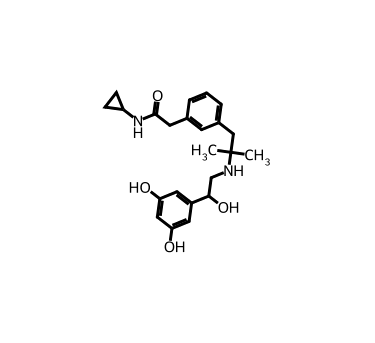 CC(C)(Cc1cccc(CC(=O)NC2CC2)c1)NCC(O)c1cc(O)cc(O)c1